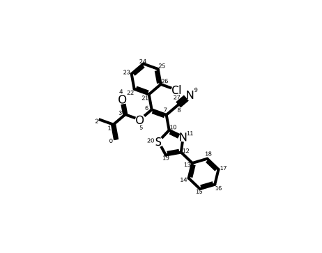 C=C(C)C(=O)OC(=C(C#N)c1nc(-c2ccccc2)cs1)c1ccccc1Cl